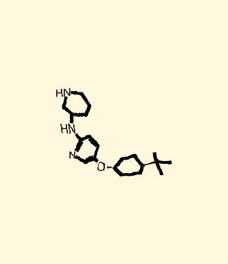 CC(C)(C)[C@H]1CC[C@H](Oc2ccc(NC3CCCNC3)nc2)CC1